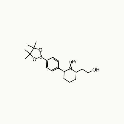 CCCN1C(CCO)CCC[C@H]1c1ccc(B2OC(C)(C)C(C)(C)O2)cc1